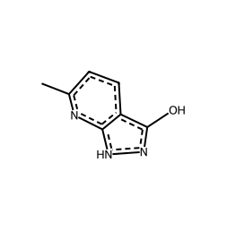 Cc1ccc2c(O)n[nH]c2n1